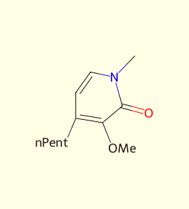 CCCCCc1ccn(C)c(=O)c1OC